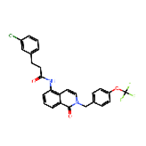 O=C(CCc1cccc(Cl)c1)Nc1cccc2c(=O)n(Cc3ccc(OC(F)(F)F)cc3)ccc12